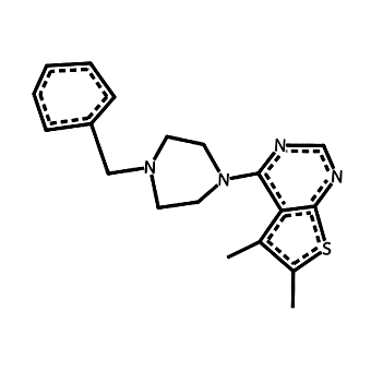 Cc1sc2ncnc(N3CCN(Cc4ccccc4)CC3)c2c1C